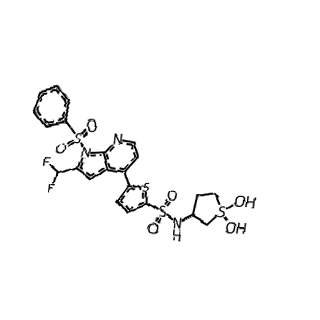 O=S(=O)(NC1CCS(O)(O)C1)c1ccc(-c2ccnc3c2cc(C(F)F)n3S(=O)(=O)c2ccccc2)s1